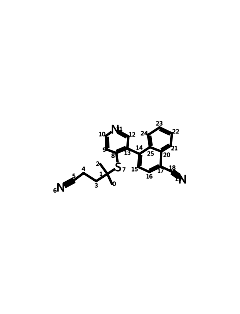 CC(C)(CCC#N)Sc1ccncc1-c1ccc(C#N)c2ccccc12